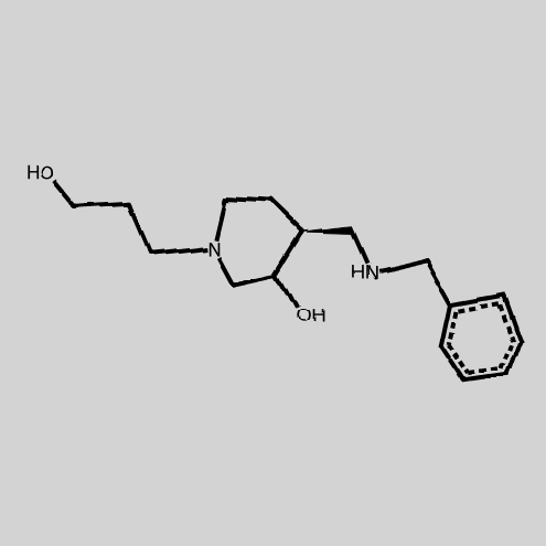 OCCCN1CC[C@@H](CNCc2ccccc2)C(O)C1